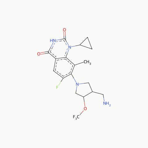 Cc1c(N2CC(CN)C(OC(F)(F)F)C2)c(F)cc2c(=O)[nH]c(=O)n(C3CC3)c12